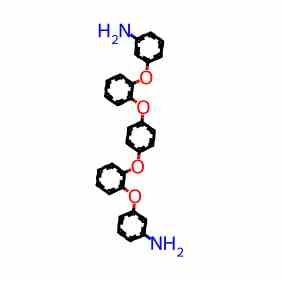 Nc1cccc(Oc2ccccc2Oc2ccc(Oc3ccccc3Oc3cccc(N)c3)cc2)c1